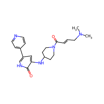 CN(C)CC=CC(=O)N1CCC(Nc2cc(-c3ccncc3)c[nH]c2=O)CC1